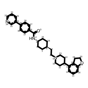 O=C(N[C@H]1CC[C@H](CCN2CCC(c3cccc4c3CCO4)CC2)CC1)c1ccc(-c2cccnc2)cc1